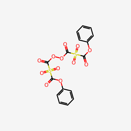 O=C(OOC(=O)S(=O)(=O)C(=O)Oc1ccccc1)S(=O)(=O)C(=O)Oc1ccccc1